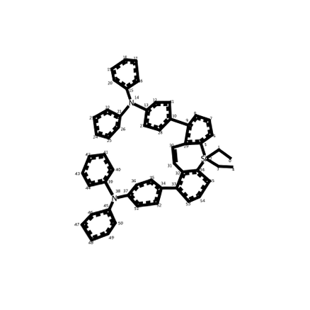 CC[Si]1(CC)c2cccc(-c3ccc(N(c4ccccc4)c4ccccc4)cc3)c2C=Cc2c(-c3ccc(N(c4ccccc4)c4ccccc4)cc3)cccc21